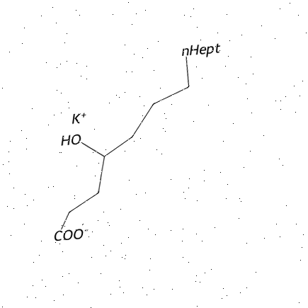 CCCCCCCCCCC(O)CCC(=O)[O-].[K+]